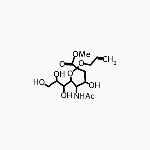 C=CCOC1(C(=O)OC)CC(O)C(NC(C)=O)C(C(O)C(O)CO)O1